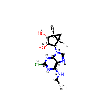 O[C@@H]1[C@H](O)[C@@H]2C[C@@H]2[C@H]1n1cnc2c(NCC(F)(F)F)nc(Cl)nc21